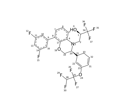 O[C@H](CN1c2cccc(-c3cc(F)cc(F)c3)c2OC[C@@H]1C1C=C(OC(F)(F)C(F)F)C=CC1)C(F)(F)F